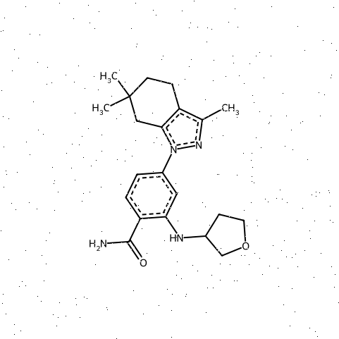 Cc1nn(-c2ccc(C(N)=O)c(NC3CCOC3)c2)c2c1CCC(C)(C)C2